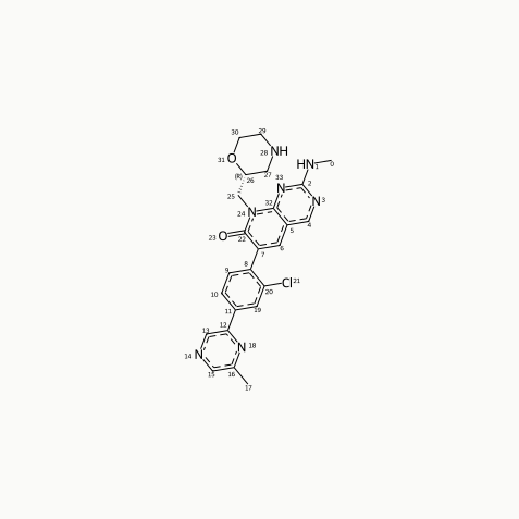 CNc1ncc2cc(-c3ccc(-c4cncc(C)n4)cc3Cl)c(=O)n(C[C@H]3CNCCO3)c2n1